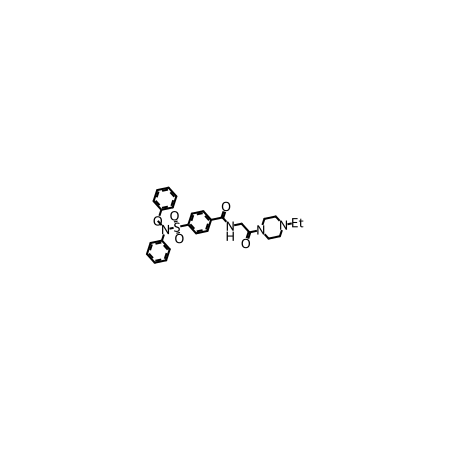 CCN1CCN(C(=O)CNC(=O)c2ccc(S(=O)(=O)N(Oc3ccccc3)c3ccccc3)cc2)CC1